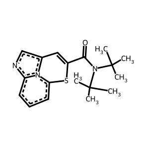 CC(C)(C)N(C(=O)C1=Cc2cnc3cccc(n23)S1)C(C)(C)C